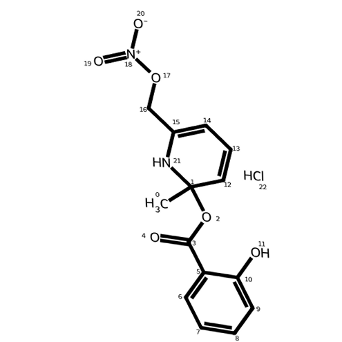 CC1(OC(=O)c2ccccc2O)C=CC=C(CO[N+](=O)[O-])N1.Cl